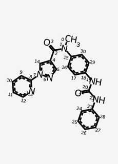 CN(C(=O)c1cnn(-c2ccccn2)c1)c1ccc(NC(=O)Nc2ccccc2)cc1